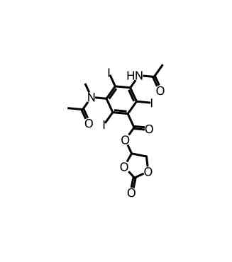 CC(=O)Nc1c(I)c(C(=O)OC2COC(=O)O2)c(I)c(N(C)C(C)=O)c1I